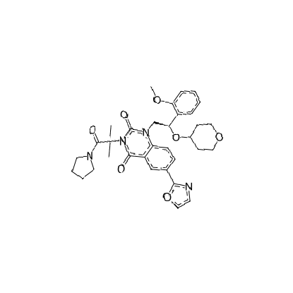 COc1ccccc1[C@H](Cn1c(=O)n(C(C)(C)C(=O)N2CCCC2)c(=O)c2cc(-c3ncco3)ccc21)OC1CCOCC1